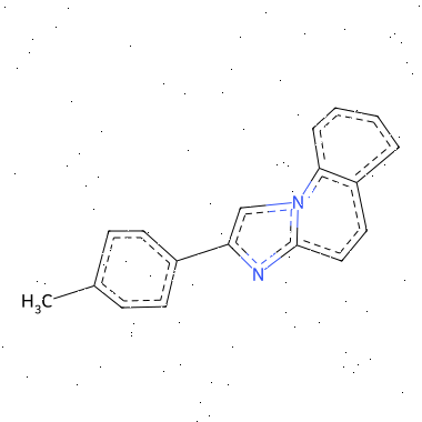 Cc1ccc(-c2cn3c(ccc4ccccc43)n2)cc1